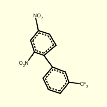 O=[N+]([O-])c1ccc(-c2cccc(C(F)(F)F)c2)c([N+](=O)[O-])c1